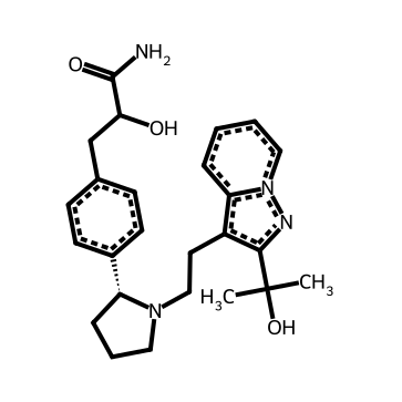 CC(C)(O)c1nn2ccccc2c1CCN1CCC[C@@H]1c1ccc(CC(O)C(N)=O)cc1